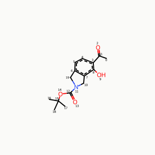 CC(=O)c1ccc2c(c1O)CN(C(=O)OC(C)(C)C)C2